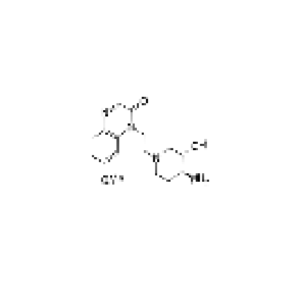 COc1ccc2ncc(=O)n(CCN3CC[C@H](N)[C@@H](O)C3)c2c1